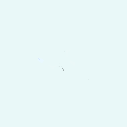 CCCC[C@](CC)(OC#N)C(=O)OC